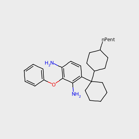 CCCCCC1CCC(C2(c3ccc(N)c(Oc4ccccc4)c3N)CCCCC2)CC1